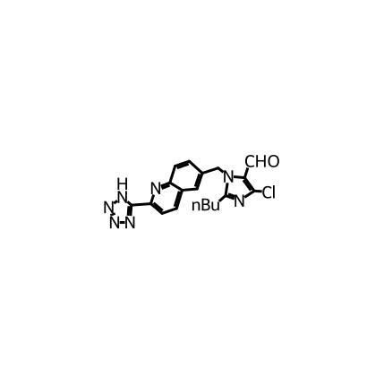 CCCCc1nc(Cl)c(C=O)n1Cc1ccc2nc(-c3nnn[nH]3)ccc2c1